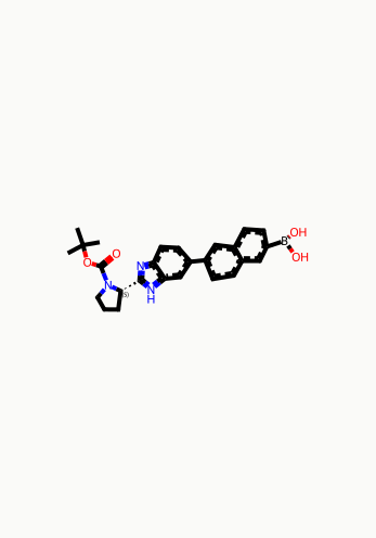 CC(C)(C)OC(=O)N1CCC[C@H]1c1nc2ccc(-c3ccc4cc(B(O)O)ccc4c3)cc2[nH]1